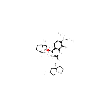 CC(C)(C)OC(=O)N1[C@@H]2CC[C@H]1CN(c1nc(OC[C@@]34CCCN3C[C@H](F)C4)nc3c(F)c(B(O)O)ccc13)C2